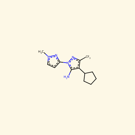 Cn1ccc(-n2nc(C(F)(F)F)c(C3CCCC3)c2N)n1